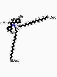 CCCCCCC1=C(c2cccc(CCCC)c2)[N+](=[N-])C(c2cccc(CCCC)c2)=C1CCCC.CCCCCCCCCCCCCCCCCCCCCCCCCC[CH2][Pd][CH2]CCCCCCCCCCCCCCCCCCCCCCCCCC